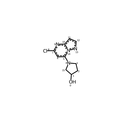 OC1CCN(c2cc(Cl)nc3ccnn23)C1